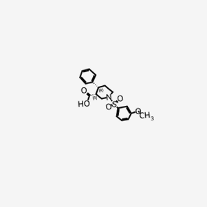 COc1cccc(S(=O)(=O)N2CC[C@@H](c3ccccc3)[C@@H](C(=O)O)C2)c1